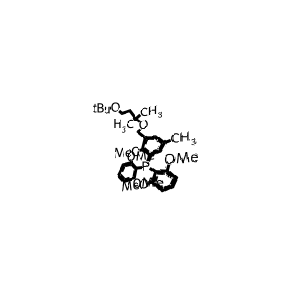 COc1cccc(OC)c1P(c1cc(C)cc(COC(C)(C)CCOC(C)(C)C)c1OC)c1c(OC)cccc1OC